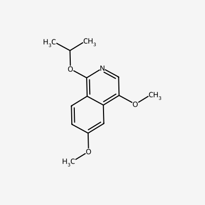 COc1ccc2c(OC(C)C)ncc(OC)c2c1